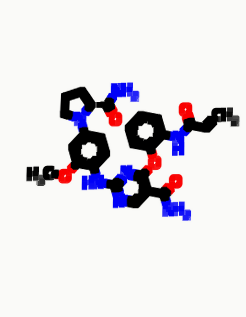 C=CC(=O)Nc1ccccc1Oc1nc(Nc2ccc(N3CCC[C@@H]3C(N)=O)cc2OC)ncc1C(N)=O